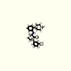 CN1CCN(c2ccccc2/C=C2\SCCN(c3cccc(Cl)c3)C2=O)CC1